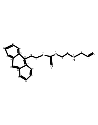 C=CCNCCOC(=O)OCCc1c2ccccc2cc2ccccc12